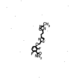 Cc1noc(CCc2csc(COc3ccc(F)c(C(N)=O)c3F)n2)n1